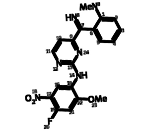 CNc1ccccc1C(=N)c1ccnc(Nc2cc([N+](=O)[O-])c(F)cc2OC)n1